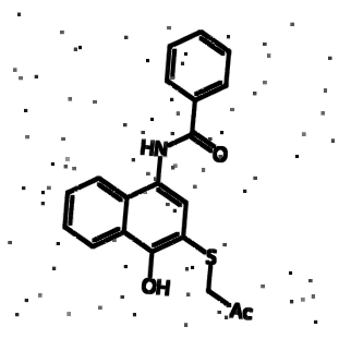 CC(=O)CSc1cc(NC(=O)c2ccccc2)c2ccccc2c1O